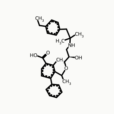 CCc1ccc(CC(C)(C)NC[C@@H](O)COC(C)c2c(-c3ccccc3)ccc(C(=O)O)c2C)cc1